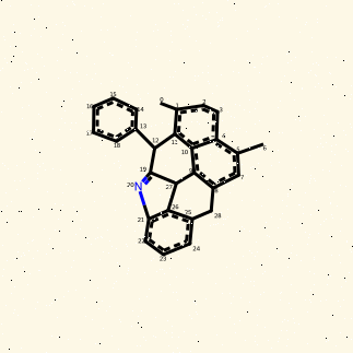 Cc1ccc2c(C)cc3c4c2c1C(c1ccccc1)C1=Nc2cccc(c2C14)C3